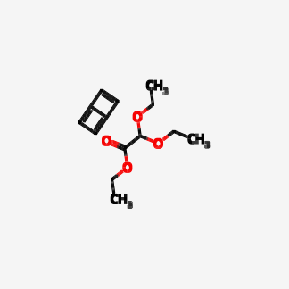 CCOC(=O)C(OCC)OCC.c1cc2ccc1-2